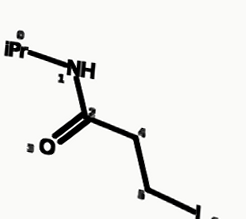 CC(C)NC(=O)CCI